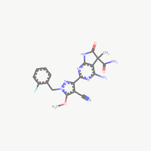 COc1c(C#N)c(-c2nc(N)c3c(n2)NC(=O)C3(C)C(N)=O)nn1Cc1ccccc1F